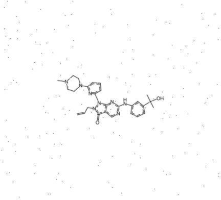 C=CCn1c(=O)c2cnc(Nc3cccc(C(C)(C)O)c3)nc2n1-c1cccc(N2CCN(C)CC2)n1